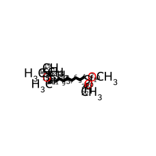 CCO[SiH](CCCCCCCC[Si](C)(C)O[Si](C)(C)C)OCC